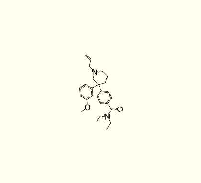 C=CCN1CCCC(c2ccc(C(=O)N(CC)CC)cc2)(c2cccc(OC)c2)C1